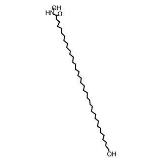 O=C(CCCCCCCCCCCCCCCCCCCCCCCCCCCCCCCCCCCCCCO)NO